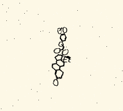 C#C[C@]1(OC(=O)COc2ccc3c(c2)OCO3)CCC2C3CCC4=CC(=O)CCC4C3CC[C@@]21CC